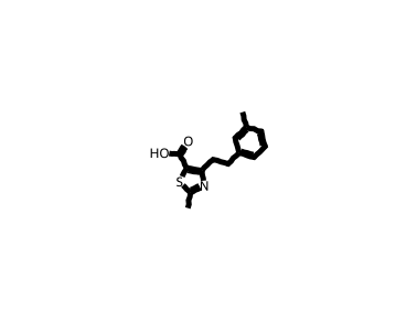 Cc1cccc(CCc2nc(C)sc2C(=O)O)c1